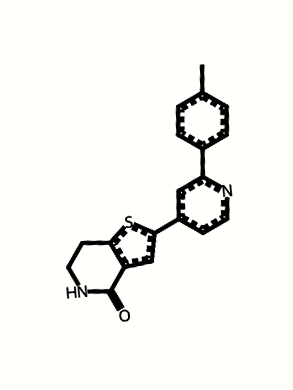 Cc1ccc(-c2cc(-c3cc4c(s3)CCNC4=O)ccn2)cc1